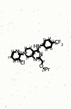 CC(C)OCc1nc2c(c(Nc3ccc(C(F)(F)F)cc3)n1)CCN(c1ncccc1Cl)C2